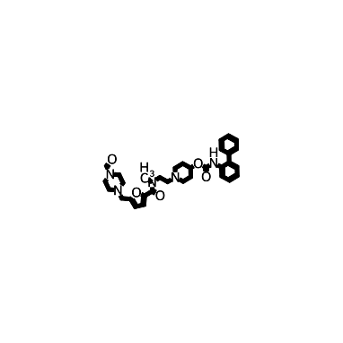 CN(CCN1CCC(OC(=O)Nc2ccccc2-c2ccccc2)CC1)C(=O)c1ccc(CN2CCN(C=O)CC2)o1